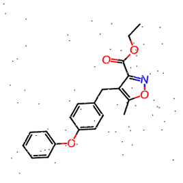 CCOC(=O)c1noc(C)c1Cc1ccc(Oc2ccccc2)cc1